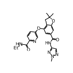 CCNC(=O)c1ccc(Oc2cc(C(=O)Nc3cnn(C)n3)cc3c2CC(C)(C)O3)cn1